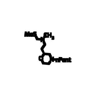 CCCCCN1CCO[C@@H](CCN(C)CSC)C1